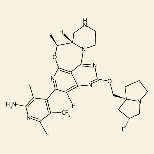 Cc1nc(N)c(C)c(-c2nc3c4c(nc(OC[C@@]56CCCN5C[C@H](F)C6)nc4c2F)N2CCNC[C@H]2[C@H](C)O3)c1C(F)(F)F